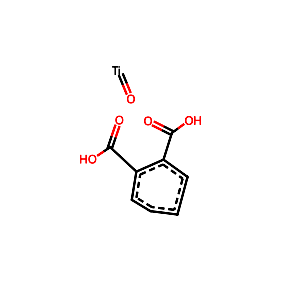 O=C(O)c1ccccc1C(=O)O.[O]=[Ti]